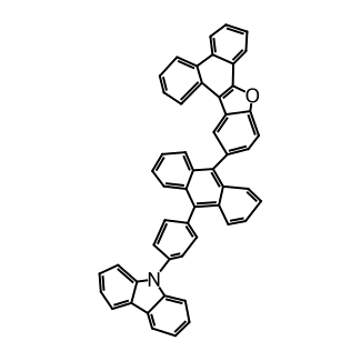 c1ccc2c(-c3ccc4oc5c6ccccc6c6ccccc6c5c4c3)c3ccccc3c(-c3ccc(-n4c5ccccc5c5ccccc54)cc3)c2c1